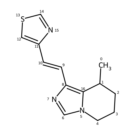 CC1CCCn2cnc(/C=C/c3cscn3)c21